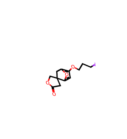 O=C1CC2(CO1)Cc1oc2cc1OCCCI